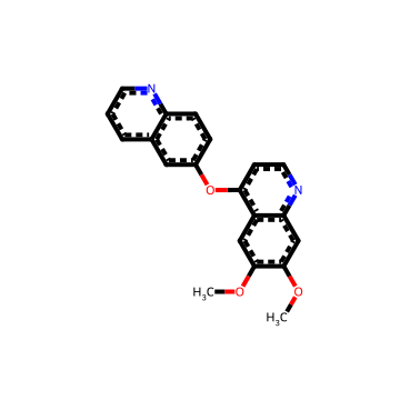 COc1cc2nccc(Oc3ccc4ncccc4c3)c2cc1OC